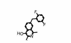 [CH2]c1nc(C)c2cc(Cc3cc(F)ccc3F)ccc2c1O